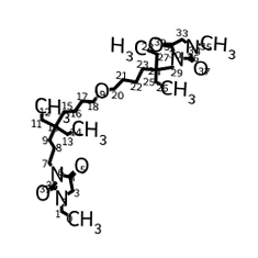 CCN1CC(=O)N(CCCC(CC)(CC)CCCCOCCCCC(CC)(CC)CN2C(=O)CN(C)C2=O)C1=O